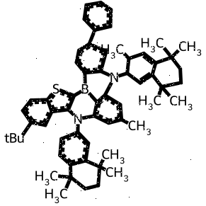 Cc1cc2c3c(c1)N(C1C=C4C(=CC1C)C(C)(C)CCC4(C)C)c1cc(-c4ccccc4)ccc1B3c1sc3ccc(C(C)(C)C)cc3c1N2c1ccc2c(c1)C(C)(C)CCC2(C)C